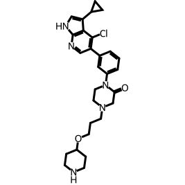 O=C1CN(CCCOC2CCNCC2)CCN1c1cccc(-c2cnc3[nH]cc(C4CC4)c3c2Cl)c1